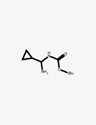 CC(C)(C)OC(=O)NC(N)C1CC1